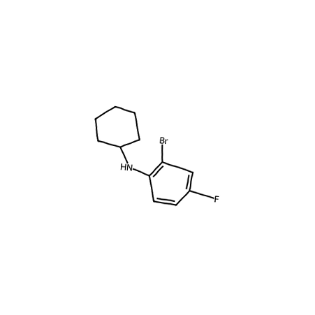 Fc1ccc(NC2CCCCC2)c(Br)c1